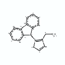 CCC1=C(C2c3ccccc3-c3ccccc32)CC=C1